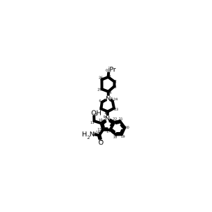 CC(C)C1CCC(N2CCC(n3c(CO)c(C(N)=O)c4ccccc43)CC2)CC1